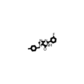 Cc1ccc(Cn2cnc3nc(-c4cccc(F)c4)[nH]c(=O)c32)cc1